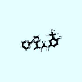 CC(NC(=O)Nc1ccc(Cl)c(C(F)(F)F)c1)c1ncnn1-c1ncccn1